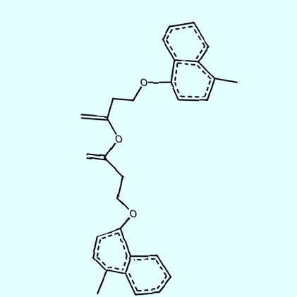 C=C(CCOc1ccc(C)c2ccccc12)OC(=C)CCOc1ccc(C)c2ccccc12